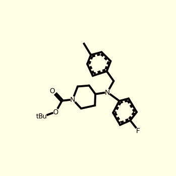 Cc1ccc(CN(c2ccc(F)cc2)C2CCN(C(=O)OC(C)(C)C)CC2)cc1